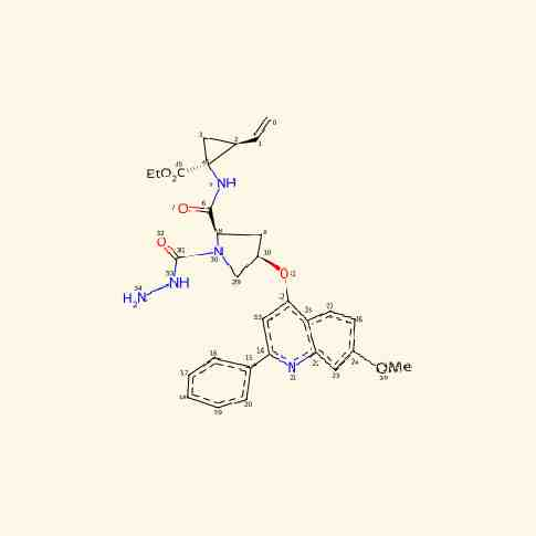 C=C[C@@H]1C[C@@]1(NC(=O)[C@H]1C[C@@H](Oc2cc(-c3ccccc3)nc3cc(OC)ccc23)CN1C(=O)NN)C(=O)OCC